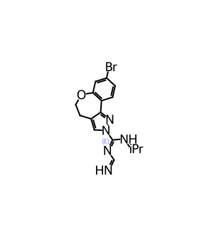 CC(C)N/C(=N\C=N)n1cc2c(n1)-c1ccc(Br)cc1OCC2